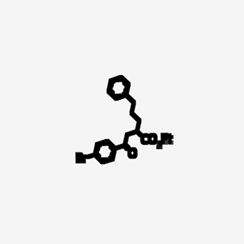 CCOC(=O)C(CCCc1ccccc1)CC(=O)c1ccc(Br)cc1